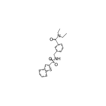 CCN(CC)C(=O)c1cccc(CNS(=O)(=O)c2cc3ccccc3s2)c1